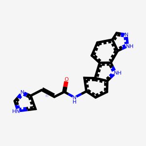 O=C(/C=C/c1c[nH]cn1)Nc1ccc2[nH]c3c(ccc4cn[nH]c43)c2c1